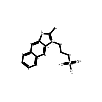 Cc1oc2cc3ccccc3cc2[n+]1CCCS(=O)(=O)[O-]